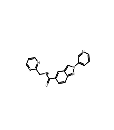 O=C(NCc1ncccn1)c1ccc2nn(-c3cccnc3)cc2c1